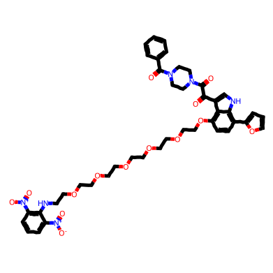 O=C(C(=O)N1CCN(C(=O)c2ccccc2)CC1)c1c[nH]c2c(-c3ccco3)ccc(OCCOCCOCCOCCOCCOCCNc3c([N+](=O)[O-])cccc3[N+](=O)[O-])c12